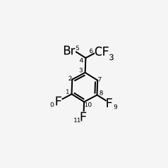 Fc1cc(C(Br)C(F)(F)F)cc(F)c1F